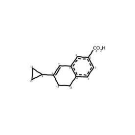 O=C(O)c1ccc2c(c1)C=C(C1CC1)CC2